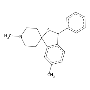 Cc1ccc2c(c1)C1(CCN(C)CC1)SC2c1ccccc1